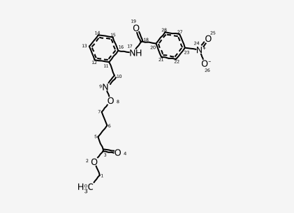 CCOC(=O)CCCON=Cc1ccccc1NC(=O)c1ccc([N+](=O)[O-])cc1